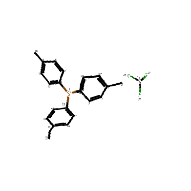 Cc1ccc([S+](c2ccc(C)cc2)c2ccc(C)cc2)cc1.FB(F)F